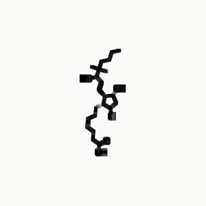 CCCCC(C)(C)[C@H](O)/C=C/[C@@H]1[C@@H](CC/C=C\CCC(=O)O)[C@H](Cl)C[C@H]1O